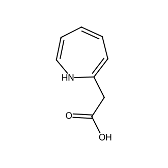 O=C(O)CC1=CC=CC=CN1